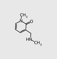 CNCc1cccn(C)c1=O